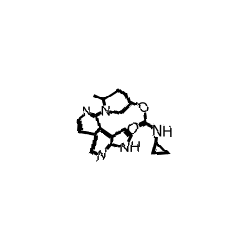 CC1CCC(OC(=O)NC2CC2)CN1c1nccc2cnc3[nH]ccc3c12